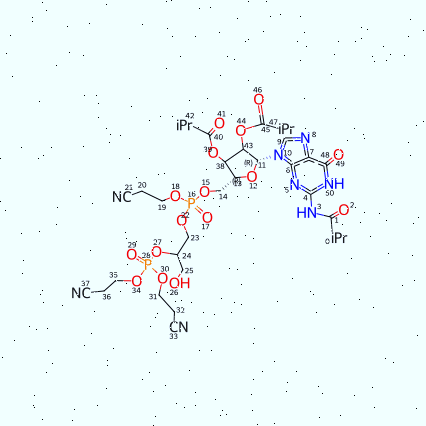 CC(C)C(=O)Nc1nc2c(ncn2[C@@H]2O[C@H](COP(=O)(OCCC#N)OCC(CO)OP(=O)(OCCC#N)OCCC#N)C(OC(=O)C(C)C)C2OC(=O)C(C)C)c(=O)[nH]1